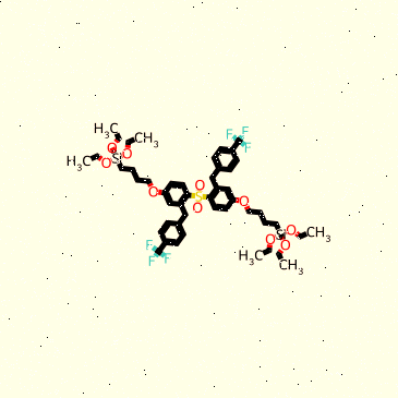 CCO[Si](CCCCOc1ccc(S(=O)(=O)c2ccc(OCCCC[Si](OCC)(OCC)OCC)cc2Cc2ccc(C(F)(F)F)cc2)c(Cc2ccc(C(F)(F)F)cc2)c1)(OCC)OCC